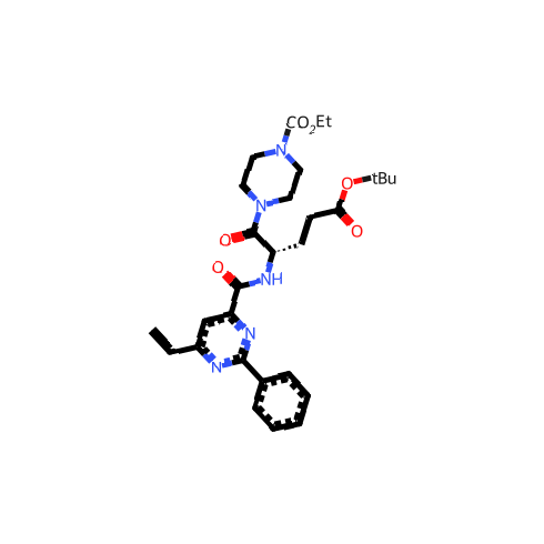 C=Cc1cc(C(=O)N[C@@H](CCC(=O)OC(C)(C)C)C(=O)N2CCN(C(=O)OCC)CC2)nc(-c2ccccc2)n1